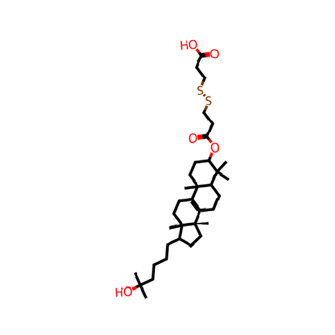 CC(C)(O)CCCCC1CC[C@@]2(C)C3=C(CCC12C)C1(C)CCC(OC(=O)CCSSCCC(=O)O)C(C)(C)C1CC3